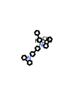 CC1(C)c2ccccc2-c2cccc(N(c3ccc(-c4ccccc4)cc3)c3ccc(-c4ccc(-n5c6ccccc6c6ccccc65)cc4)cc3)c21